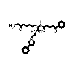 CCC(=O)CCCCC[C@H](NC(=O)CCCC(=O)c1ccccc1)C(=O)NCCN1CCC(c2ccccc2)C1